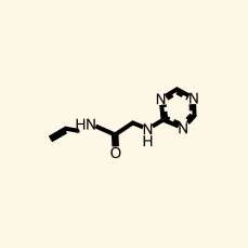 C=CCNC(=O)CNc1ncncn1